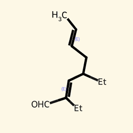 C/C=C/CC(/C=C(/C=O)CC)CC